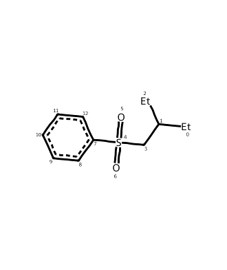 CCC(CC)CS(=O)(=O)c1ccccc1